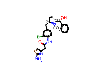 Nc1nc(CC(=O)Nc2ccc(C[C@H]3CC[C@H]([C@H](O)c4ccccc4)N3C(=O)O)cc2Br)cs1